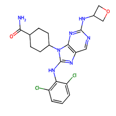 NC(=O)C1CCC(n2c(Nc3c(Cl)cccc3Cl)nc3cnc(NC4COC4)nc32)CC1